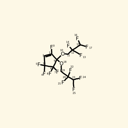 FC1=CC(F)(F)C(F)(F)C1(OCC(F)(F)C(F)F)OCC(F)(F)C(F)F